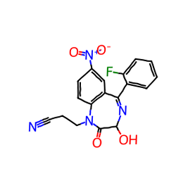 N#CCCN1C(=O)C(O)N=C(c2ccccc2F)c2cc([N+](=O)[O-])ccc21